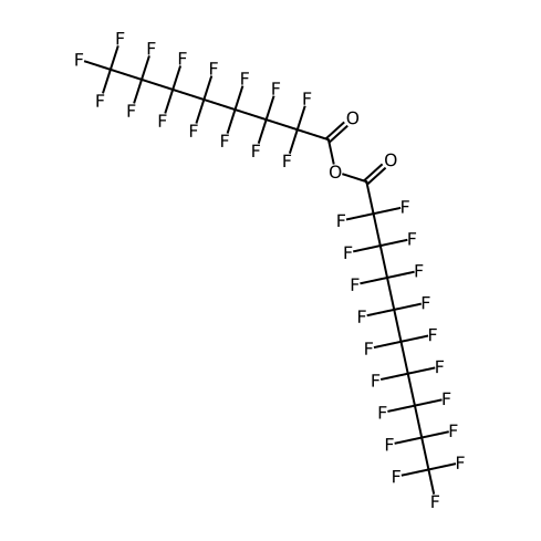 O=C(OC(=O)C(F)(F)C(F)(F)C(F)(F)C(F)(F)C(F)(F)C(F)(F)C(F)(F)C(F)(F)C(F)(F)F)C(F)(F)C(F)(F)C(F)(F)C(F)(F)C(F)(F)C(F)(F)C(F)(F)F